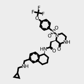 O=C(C[C@@H]1C(=O)NCCN1S(=O)(=O)c1ccc(OC(F)(F)F)cc1)N[C@@H]1CCCc2cc(CNCC3CC3)ccc21